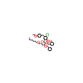 CCOc1ccc(Cc2cc([C@@H]3O[C@H](COCCCCCI)[C@@H](C)[C@H](OCc4ccccc4)[C@H]3OCc3ccccc3)c(O)cc2Cl)cc1